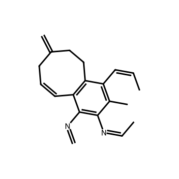 C=Nc1c2c(c(/C=C\C)c(C)c1/N=C\C)CCC(=C)C/C=C\2